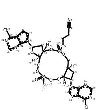 N#CCCOP1(=S)OC[C@H]2C[C@@H](n3cnc4c(Cl)ncnc43)[C@@H]2COP(=O)(S)OC[C@H]2O[C@@H](n3ccc4c(Cl)ncnc43)C[C@@H]2O1